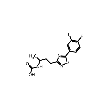 CC(CCc1noc(-c2ccc(F)c(F)c2)n1)NC(=O)O